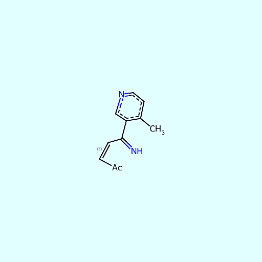 CC(=O)/C=C\C(=N)c1cnccc1C